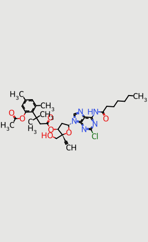 C#C[C@]1(CO)O[C@@H](n2cnc3c(NC(=O)CCCCCC)nc(Cl)nc32)C[C@@H]1OC(=O)CC(C)(C)c1c(C)cc(C)cc1OC(C)=O